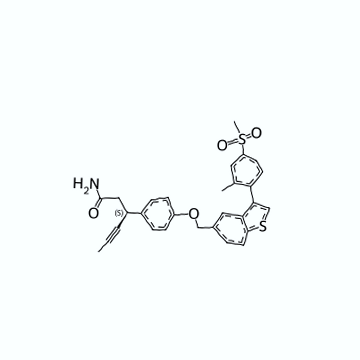 CC#C[C@@H](CC(N)=O)c1ccc(OCc2ccc3scc(-c4ccc(S(C)(=O)=O)cc4C)c3c2)cc1